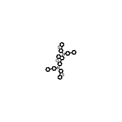 c1ccc(-c2ccc(N(c3ccc4c(c3)Oc3cccc5c(N(c6ccc(-c7ccccc7)cc6)c6ccc7sc8ccccc8c7c6)ccc-4c35)c3ccc4sc5ccccc5c4c3)cc2)cc1